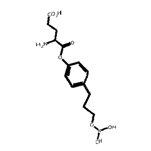 NC(CCC(=O)O)C(=O)Oc1ccc(CCCON(O)O)cc1